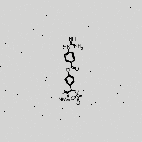 CNC(=O)C(OS(C)(=O)=O)c1ccc(OC(=O)c2ccc(NC(=N)N)cc2)cc1